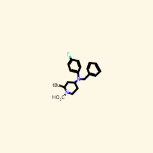 CC(C)(C)C1CC(N(Cc2ccccc2)c2ccc(F)cc2)CCN1C(=O)O